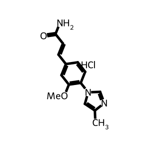 COc1cc(/C=C/C(N)=O)ccc1-n1cnc(C)c1.Cl